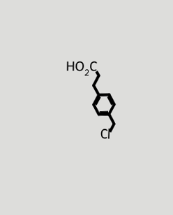 O=C(O)CCc1ccc(CCl)cc1